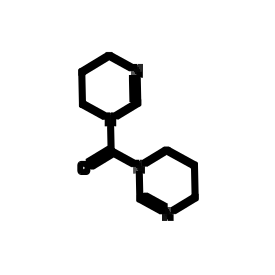 O=C(N1C=NCCC1)N1C=NCCC1